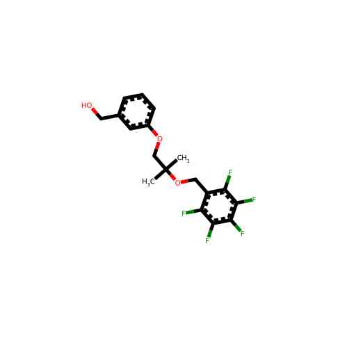 CC(C)(COc1cccc(CO)c1)OCc1c(F)c(F)c(F)c(F)c1F